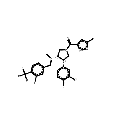 Cc1cc(C(=O)N2C[C@H](c3ccc(Cl)c(Cl)c3)[C@H](N(C)Cc3ccc(C(F)(F)F)c(F)c3)C2)no1